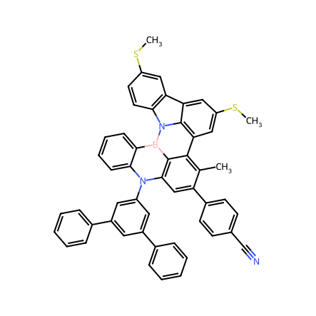 CSc1ccc2c(c1)c1cc(SC)cc3c1n2B1c2ccccc2N(c2cc(-c4ccccc4)cc(-c4ccccc4)c2)c2cc(-c4ccc(C#N)cc4)c(C)c-3c21